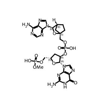 COP(=O)(O)OC[C@@H]1C[C@@H](OP(=O)(O)OC[C@]23CC[C@H](C2)[C@H](n2cnc4c(N)ncnc42)O3)[C@H](n2cnc3c(=O)[nH]c(N)nc32)O1